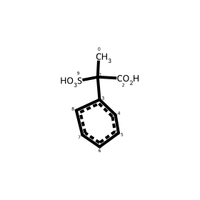 CC(C(=O)O)(c1ccccc1)S(=O)(=O)O